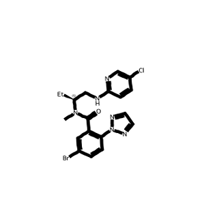 CC[C@@H](CNc1ccc(Cl)cn1)N(C)C(=O)c1cc(Br)ccc1-n1nccn1